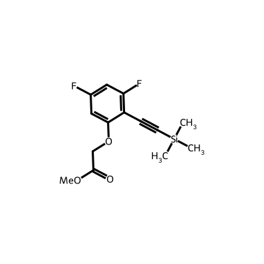 COC(=O)COc1cc(F)cc(F)c1C#C[Si](C)(C)C